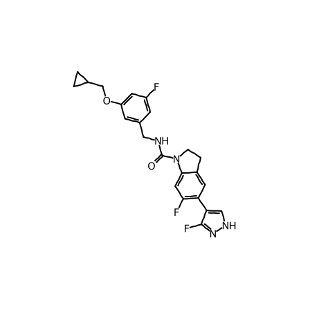 O=C(NCc1cc(F)cc(OCC2CC2)c1)N1CCc2cc(-c3c[nH]nc3F)c(F)cc21